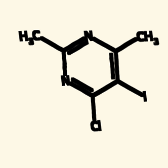 Cc1nc(C)c(I)c(Cl)n1